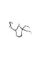 CC(C)OB1OCC(C)(C)O1